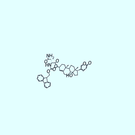 C[C@]12CC[C@H](OC(=O)[C@@H](CC(N)=O)NC(=O)OCC3c4ccccc4-c4ccccc43)C=C1CCC1C2CC[C@]2(C)[C@@H](c3ccc(=O)oc3)CC[C@]12O